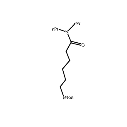 CCCCCCCCCCCCCCC(=O)N(CCC)CCC